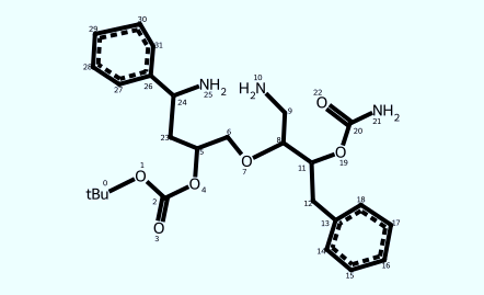 CC(C)(C)OC(=O)OC(COC(CN)C(Cc1ccccc1)OC(N)=O)CC(N)c1ccccc1